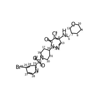 O=c1c(Cl)c(NC[C@H]2CCCOC2)cnn1C1CCN(S(=O)(=O)c2cc(Br)ccn2)CC1